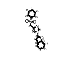 O=S(=O)(Cc1ncn(-c2cc3ccccc3o2)n1)c1ccccc1